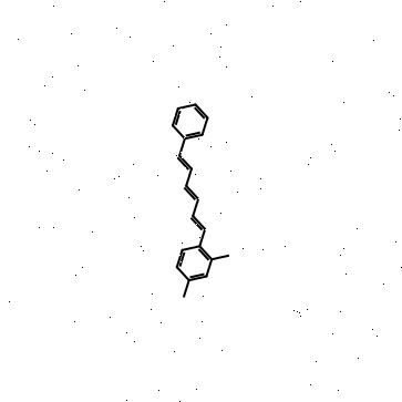 Cc1ccc(/C=C/C=C/C=C/c2ccccc2)c(C)c1